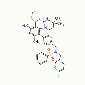 Cc1nc(C)c(C(OC(C)(C)C)C(=O)O)c(N2CCC(C)(C)CC2)c1-c1ccc(CN(Cc2ccc(F)cc2)S(=O)(=O)c2ccccc2)cc1